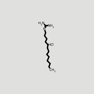 CCCCCCCCCCCCCN=C(N)N.Cl